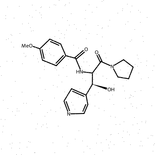 COc1ccc(C(=O)NC(C(=O)N2CCCC2)[C@@H](O)c2ccncc2)cc1